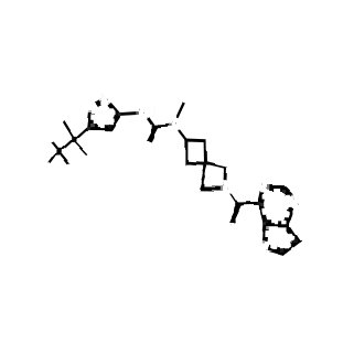 CN(C(=O)Nc1cc(C(C)(C)C(F)(F)F)on1)C1CC2(C1)CN(C(=O)c1ncnc3ccsc13)C2